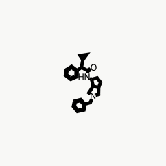 O=C(NC1CCC2CN(Cc3ccccc3)CC21)C(c1ccccc1)C1CC1